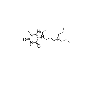 CCCN(CCC)CCCn1c(C)nc2c1c(=O)n(C)c(=O)n2C